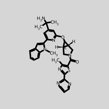 Cc1nc(-c2ncccn2)sc1C(=O)N1C[C@@H]2C(Oc3cc(C(C)(C)N)cc(-c4cc5ccccc5n4C)n3)[C@@H]2C1